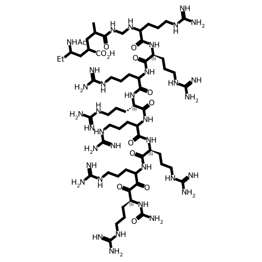 CCC(CC(CC(C)C(=O)NCNC(CCCNC(=N)N)C(=O)N[C@@H](CCCNC(=N)N)C(=O)NC(CCCNC(=N)N)C(=O)N[C@@H](CCCNC(=N)N)C(=O)NC(CCCNC(=N)N)C(=O)N[C@@H](CCCNC(=N)N)C(=O)NC(CCCNC(=N)N)C(=O)C(=O)[C@H](CCCNC(=N)N)NC(N)=O)C(=O)O)NC(C)=O